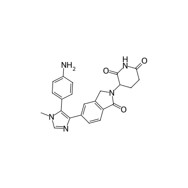 Cn1cnc(-c2ccc3c(c2)CN(C2CCC(=O)NC2=O)C3=O)c1-c1ccc(N)cc1